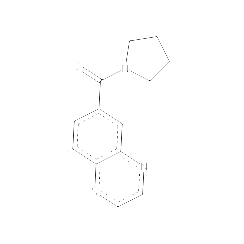 O=C(c1ccc2nccnc2c1)N1CCCC1